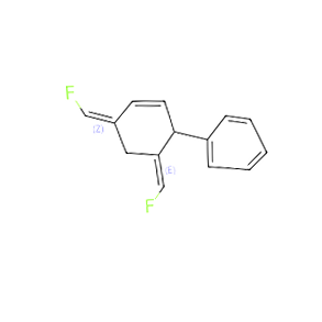 F/C=C1\C=CC(c2ccccc2)/C(=C/F)C1